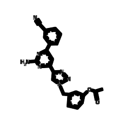 CC(=O)Oc1cccc(Cn2cc(-c3cc(-c4cccc(C#N)c4)nc(N)n3)nn2)c1